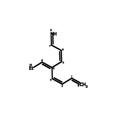 C=C\C=C/C(/C=C\C=N)=C\CC